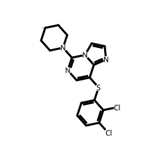 Clc1cccc(Sc2cnc(N3CC[CH]CC3)n3ccnc23)c1Cl